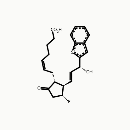 O=C(O)CCC/C=C\C[C@H]1C(=O)C[C@@H](F)[C@@H]1/C=C/[C@@H](O)c1cc2ccccc2s1